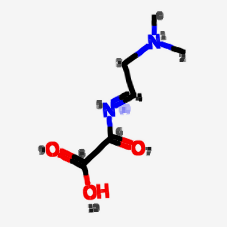 CN(C)C/C=N/C(=O)C(=O)O